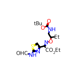 CCOC(=O)C(=NOC(CC)CNC(=O)OC(C)(C)C)c1csc(NC=O)n1